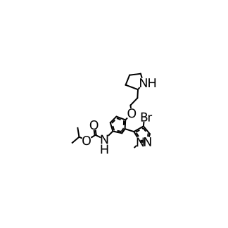 CC(C)OC(=O)Nc1ccc(OCCC2CCCN2)c(-c2c(Br)cnn2C)c1